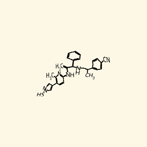 C=C(Nc1ccc(-c2cnn(S)c2)c(C)n1)C(NCC(C)c1ccc(C#N)cc1)c1ccccc1